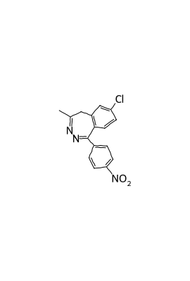 CC1=NN=C(c2ccc([N+](=O)[O-])cc2)c2ccc(Cl)cc2C1